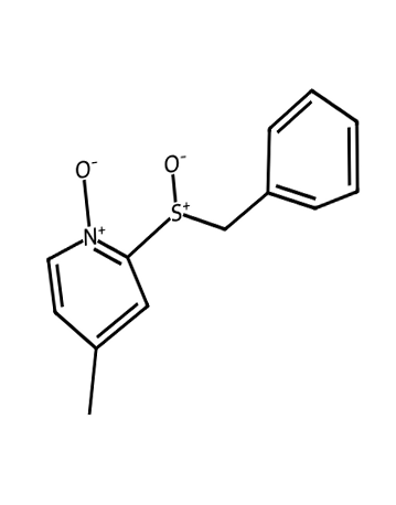 Cc1cc[n+]([O-])c([S+]([O-])Cc2ccccc2)c1